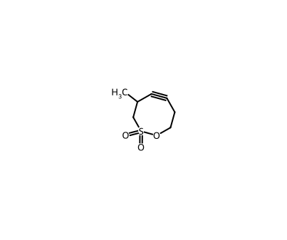 CC1C#CCCOS(=O)(=O)C1